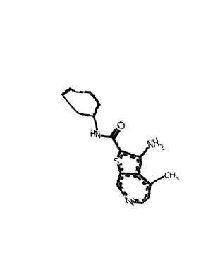 Cc1cncc2sc(C(=O)NC3CCCCC3)c(N)c12